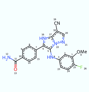 COc1cc(Nc2c(-c3ccc(C(N)=O)cc3)[nH]c3c(C#N)cnn23)ccc1F